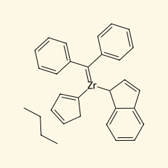 C1=CC[C]([Zr](=[C](c2ccccc2)c2ccccc2)[CH]2C=Cc3ccccc32)=C1.CCCC